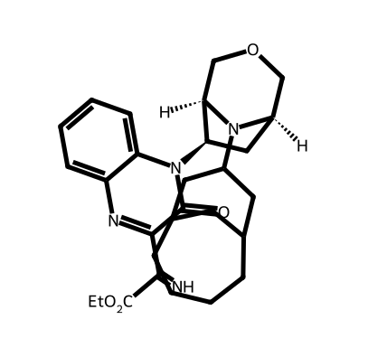 CCOC(=O)C(=N)c1nc2ccccc2n([C@@H]2C[C@@H]3COC[C@H]2N3C2CC3CCCCC(C3)C2)c1=O